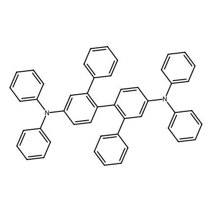 c1ccc(-c2cc(N(c3ccccc3)c3ccccc3)ccc2-c2ccc(N(c3ccccc3)c3ccccc3)cc2-c2ccccc2)cc1